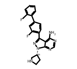 Nc1ncnc2c1c(-c1ccc(-c3cc[c]cc3F)cc1F)nn2[C@@H]1CCNC1